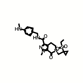 CCS(=O)(=O)C1(CN2CCc3c(C(=O)NCc4ccc(NC)cc4)nn(C)c3C2=O)CC1